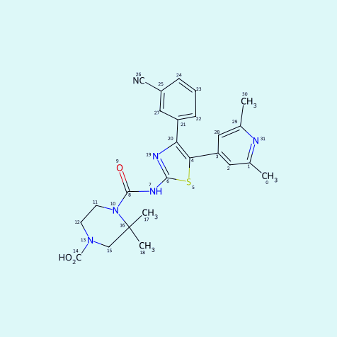 Cc1cc(-c2sc(NC(=O)N3CCN(C(=O)O)CC3(C)C)nc2-c2cccc(C#N)c2)cc(C)n1